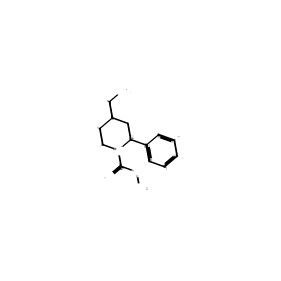 CC(C)(C)OC(=O)N1CCC(CC#N)CC1c1ccccc1